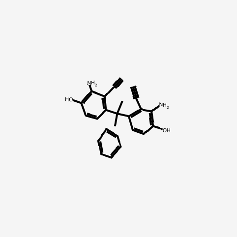 C#Cc1c(C(C)(C)c2ccc(O)c(N)c2C#C)ccc(O)c1N.c1ccccc1